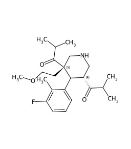 COCC[C@@]1(C(=O)C(C)C)CNC[C@H](C(=O)C(C)C)C1c1cccc(F)c1C